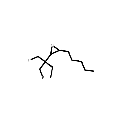 CCCCCC1OC1C(CF)(CF)CF